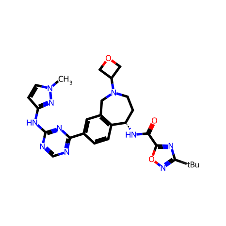 Cn1ccc(Nc2ncnc(-c3ccc4c(c3)CN(C3COC3)CC[C@@H]4NC(=O)c3nc(C(C)(C)C)no3)n2)n1